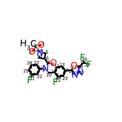 CS(=O)(=O)N1CC(C(=O)N(Cc2ccc(-c3nnc(C(F)F)o3)cc2F)c2cccc(F)c2)C1